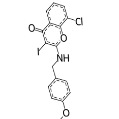 COc1ccc(CNc2oc3c(Cl)cccc3c(=O)c2I)cc1